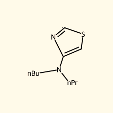 CCCCN(CCC)c1cs[c]n1